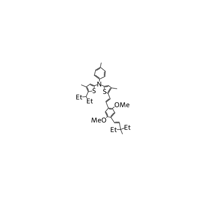 CCC(CC)c1sc(N(c2ccc(C)cc2)c2cc(C)c(C=Cc3cc(OC)c(C=CC(C)(CC)CC)cc3OC)s2)cc1C